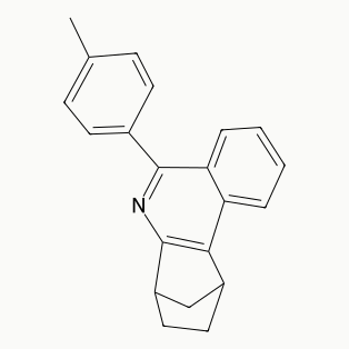 Cc1ccc(-c2nc3c(c4ccccc24)C2CCC3C2)cc1